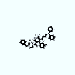 CC1=C(C(=O)OCCC(c2ccccc2)c2ccccc2)C(c2cccc(Cl)c2)C(C(=O)N2CCN(Cc3ccccc3)CC2)=C(C)N1